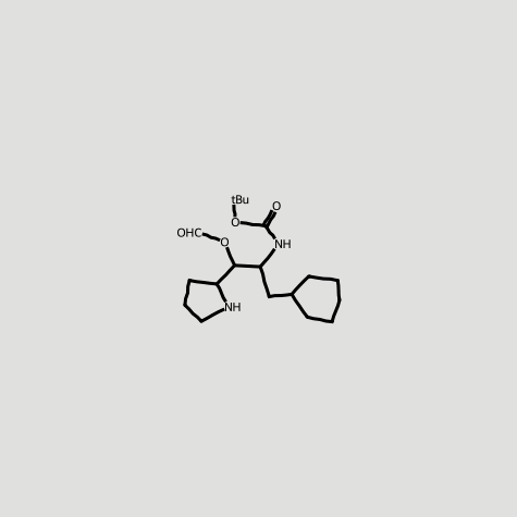 CC(C)(C)OC(=O)NC(CC1CCCCC1)C(OC=O)C1CCCN1